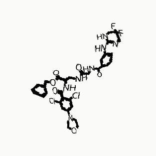 O=C(CNC(=O)c1cccc(NC2=NCC(F)(F)CN2)c1)NCC(NC(=O)c1c(Cl)cc(N2CCOCC2)cc1Cl)C(=O)OCc1ccccc1